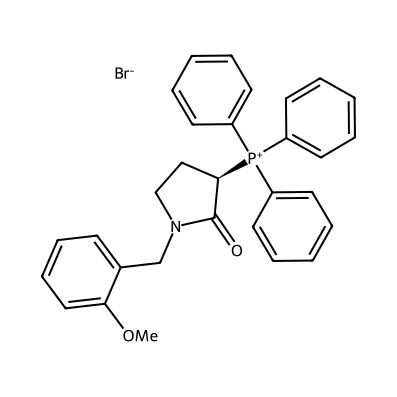 COc1ccccc1CN1CC[C@@H]([P+](c2ccccc2)(c2ccccc2)c2ccccc2)C1=O.[Br-]